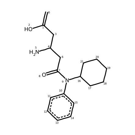 C=C(O)CC(N)CC(=O)N(c1ccccc1)C1CCCCC1